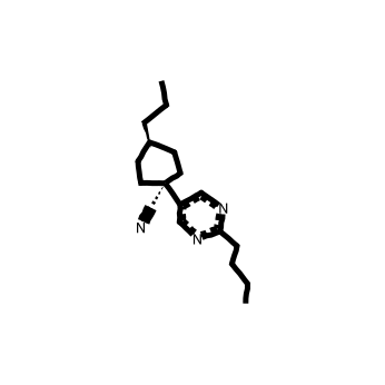 CCCCc1ncc([C@]2(C#N)CC[C@H](CCC)CC2)cn1